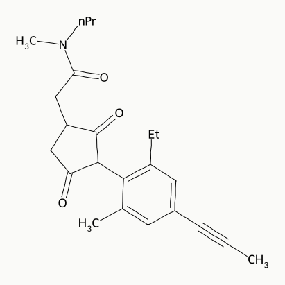 CC#Cc1cc(C)c(C2C(=O)CC(CC(=O)N(C)CCC)C2=O)c(CC)c1